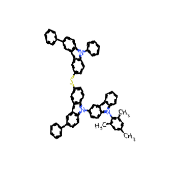 Cc1cc(C)c(-n2c3ccccc3c3cc(-n4c5ccc(Sc6ccc7c(c6)c6cc(-c8ccccc8)ccc6n7-c6ccccc6)cc5c5cc(-c6ccccc6)ccc54)ccc32)c(C)c1